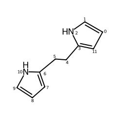 c1c[nH]c(CCc2ccc[nH]2)c1